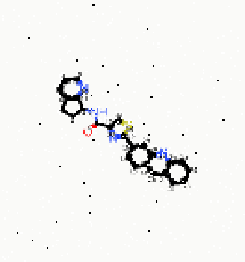 O=C(NC1CCc2cccnc21)c1csc(-c2ccc3cc4ccccc4nc3c2)n1